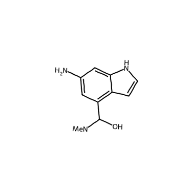 CNC(O)c1cc(N)cc2[nH]ccc12